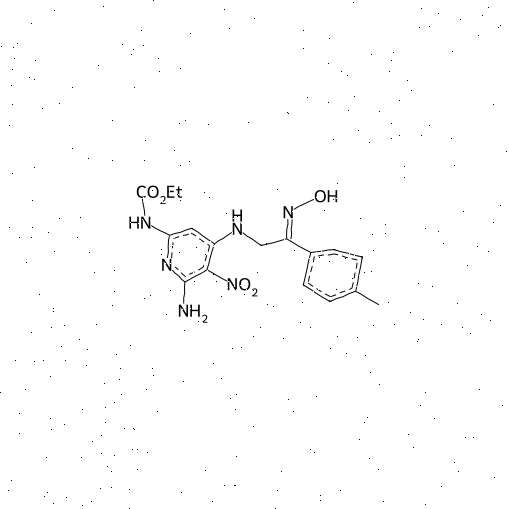 CCOC(=O)Nc1cc(NCC(=NO)c2ccc(C)cc2)c([N+](=O)[O-])c(N)n1